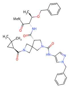 CNC(=O)[C@@H](NC(=O)[C@@H]1CN(C(=O)Nc2cnn(Cc3ccccc3)c2)CC12CN(C(=O)[C@H]1CC1(C)C)C2)[C@@H](C)OCc1ccccc1